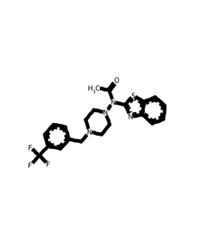 CC(=O)N(c1nc2ccccc2s1)N1CCN(Cc2cccc(C(F)(F)F)c2)CC1